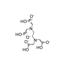 [O-]/[P+](O)=C/N(/C=[P+](\[O-])O)CCN(/C=[P+](/[O-])O)/C=[P+](\[O-])O